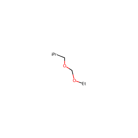 CCOCOCC(C)C